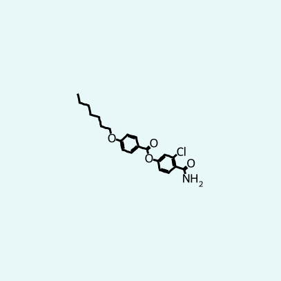 CCCCCCCOc1ccc(C(=O)Oc2ccc(C(N)=O)c(Cl)c2)cc1